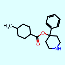 CC1CCC(C(=O)OC2(c3ccccc3)CCNCC2)CC1